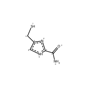 NC(=O)c1nc(CS)c[nH]1